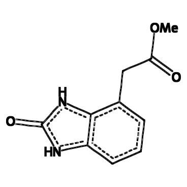 COC(=O)Cc1cccc2[nH]c(=O)[nH]c12